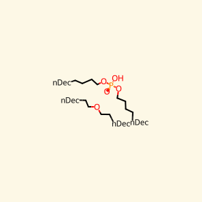 CCCCCCCCCCCCCCOP(=O)(O)OCCCCCCCCCCCCCC.CCCCCCCCCCCCOCCCCCCCCCCCC